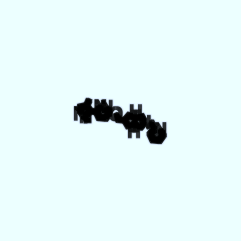 Cc1cnn(C)c1-c1ccc(OCC2C[C@@H]3CN(Cc4ccccn4)C[C@@H]3C2)nn1